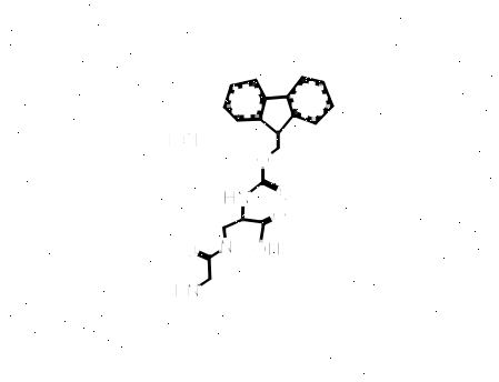 Cl.NCC(=O)NCC(NC(=O)OCC1c2ccccc2-c2ccccc21)C(=O)O